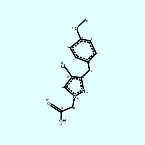 COc1ccc(Cc2nn(CC(=O)O)cc2Cl)cc1